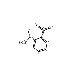 CCOS(=O)(=O)O.O=[SH](=O)c1ccccc1